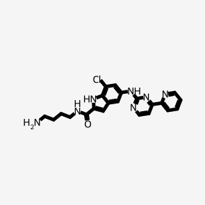 NCCCCNC(=O)c1cc2cc(Nc3nccc(-c4ccccn4)n3)cc(Cl)c2[nH]1